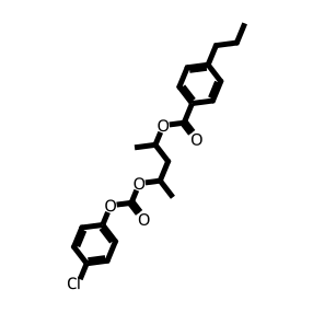 CCCc1ccc(C(=O)OC(C)CC(C)OC(=O)Oc2ccc(Cl)cc2)cc1